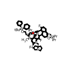 CC(C)[Si](C#Cc1c(F)ccc2cc(O[Si](C(C)C)(C(C)C)C(C)C)cc(-c3nc4c5c(cc(=O)n(C[C@@]67CCCN6C[C@H](F)C7)c5c3F)N(C)[C@@H](CCO[Si](c3ccccc3)(c3ccccc3)C(C)(C)C)CO4)c12)(C(C)C)C(C)C